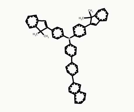 CC1(C)C(c2ccc(N(c3ccc(C4=Cc5ccccc5C4(C)C)cc3)c3ccc(-c4ccc(-c5ccc6ccccc6c5)cc4)cc3)cc2)=Cc2ccccc21